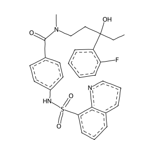 CCC(O)(CCN(C)C(=O)c1ccc(NS(=O)(=O)c2cccc3cccnc23)cc1)c1ccccc1F